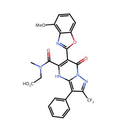 COc1cccc2oc(-c3c(C(=O)N(C)CC(=O)O)[nH]c4c(-c5ccccc5)c(C(F)(F)F)nn4c3=O)nc12